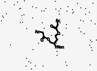 CCCCCCCCCC(CCOC(=O)CC(C)=O)COC(=O)CC(C)=O